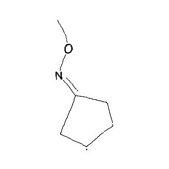 CO/N=C1/C[CH]CC1